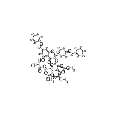 CC(=O)OC1C(COC(=O)CCl)OC(Oc2c(-c3ccc(OCc4ccccc4)cc3)oc3cc(COc4ccccc4)cc(O)c3c2=O)C(OC(C)=O)C1OC(C)=O